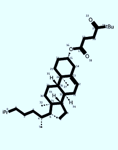 CC(C)CCC[C@@H](C)[C@H]1CC[C@H]2[C@@H]3CC=C4C[C@@H](OC(=O)CCC(=O)C(C)(C)C)CC[C@]4(C)[C@H]3CC[C@]12C